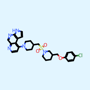 O=S(=O)(CC1CCN(c2ccnc3cnc4[nH]ccc4c23)CC1)N1CCCC(COc2ccc(Cl)cc2)C1